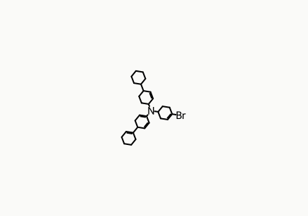 BrC1=CCC(N(C2=CCC(C3=CCCCC3)C=C2)C2C=CC(C3CCCCC3)CC2)CC1